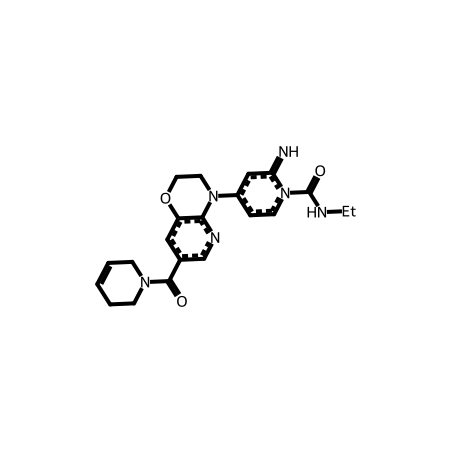 CCNC(=O)n1ccc(N2CCOc3cc(C(=O)N4CC=CCC4)cnc32)cc1=N